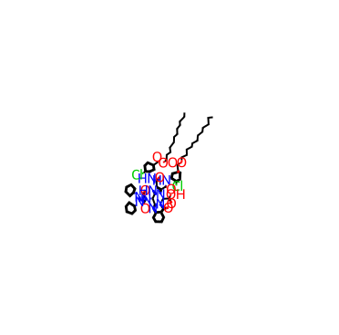 CCCCCCCCCCCCOC(=O)c1ccc(Cl)c(NC(=O)c2nc(C(c3nc4ccccc4c(=O)n3CC(=O)O)n3c(=O)n(-c4ccccc4)n(-c4ccccc4)c3=O)[nH]c2C(=O)Nc2cc(C(=O)OCCCCCCCCCCCC)ccc2Cl)c1